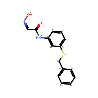 O=C(/C=N\O)Nc1cccc(SCc2ccccc2)c1